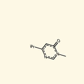 CC(C)c1cc(=O)n(C)cn1